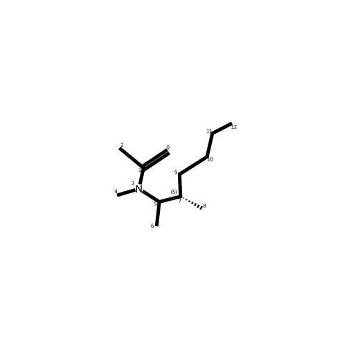 C=C(C)N(C)C(C)[C@@H](C)CCCC